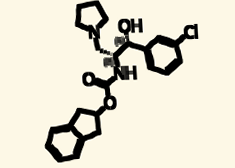 O=C(N[C@H](CN1CCCC1)[C@H](O)c1cccc(Cl)c1)OC1Cc2ccccc2C1